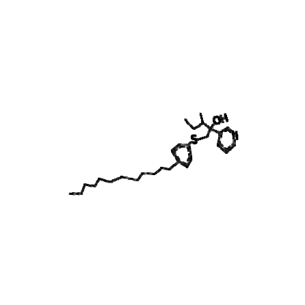 CCCCCCCCCCCCc1ccc(SCC(O)(c2cccnc2)C(C)CC)cc1